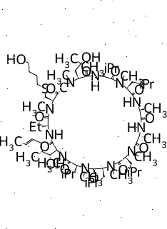 C/C=C/C[C@@H](C)[C@@H](O)[C@H]1C(=O)N[C@@H](CC)C(=O)N(C)[C@@H](CSCCCCO)C(=O)CN(C)[C@@H](CC(C)(C)O)C(=O)N[C@@H](C(C)C)C(=O)N(C)[C@@H](CC(C)C)C(=O)N[C@@H](C)C(=O)N[C@H](C)C(=O)N(C)[C@@H](CC(C)C)C(=O)N(C)[C@@H](CC(C)C)C(=O)N(C)[C@@H](C(C)C)C(=O)N1C